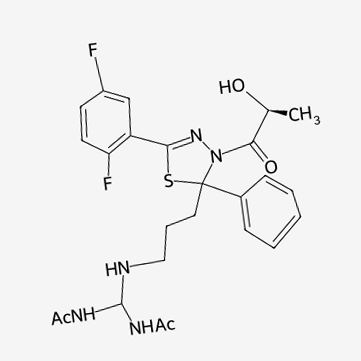 CC(=O)NC(NCCCC1(c2ccccc2)SC(c2cc(F)ccc2F)=NN1C(=O)[C@H](C)O)NC(C)=O